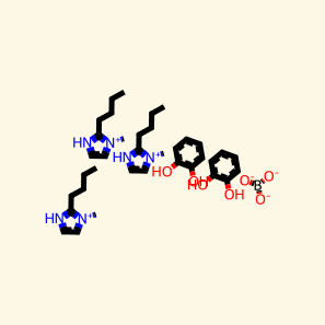 CCCCc1[nH]cc[n+]1C.CCCCc1[nH]cc[n+]1C.CCCCc1[nH]cc[n+]1C.Oc1ccccc1O.Oc1ccccc1O.[O-]B([O-])[O-]